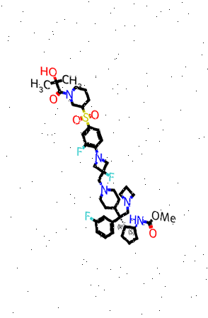 COC(=O)N[C@H]1CCC[C@@H]1C(CN1CCC1)(c1cccc(F)c1)C1CCN(CC2(F)CN(c3ccc(S(=O)(=O)C4CCCN(C(=O)C(C)(C)O)C4)cc3F)C2)CC1